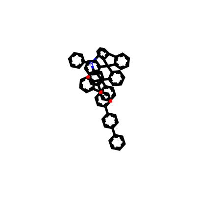 c1ccc(-c2ccc(-c3ccc(-c4ccc(N(c5ccccc5)c5cccc6c5C5(c7ccccc7-6)c6ccccc6C6(c7ccccc7-c7ccccc76)c6ccccc65)cc4)cc3)cc2)cc1